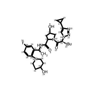 CC(NC(=O)C1CC(O)CN1C(=O)[C@@H](n1cc(C2CC2)nn1)C(C)(C)C)c1cc(F)ccc1N1CCC(O)CC1